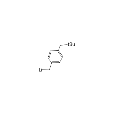 [Li][CH2]c1ccc(CC(C)(C)C)cc1